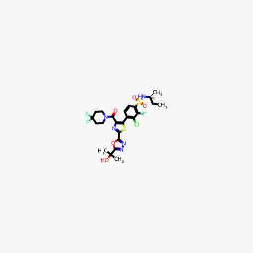 CC[C@@H](C)NS(=O)(=O)c1ccc(-c2sc(-c3nnc(C(C)(C)O)o3)nc2C(=O)N2CCC(F)(F)CC2)c(Cl)c1F